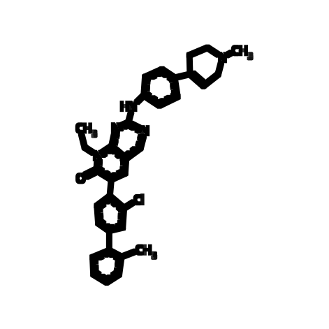 CCn1c(=O)c(-c2ccc(-c3ccccc3C)cc2Cl)cc2cnc(Nc3ccc(C4=CCN(C)CC4)cc3)nc21